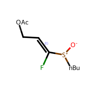 CCCC[S+]([O-])/C(F)=C/COC(C)=O